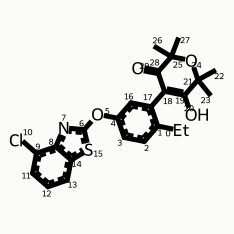 CCc1ccc(Oc2nc3c(Cl)cccc3s2)cc1C1=C(O)C(C)(C)OC(C)(C)C1=O